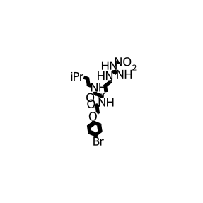 CC(C)CCNC(=O)[C@H](CCCNC(=N)N[N+](=O)[O-])NC(=O)COc1ccc(Br)cc1